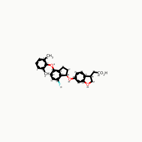 Cc1cccc(C)c1Oc1ccc(F)c2c1CC[C@H]2Oc1ccc2c(c1)OCC2CC(=O)O